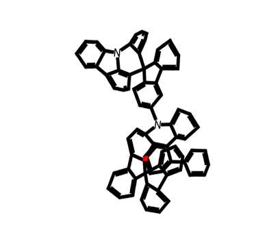 c1ccc(-c2ccccc2-c2ccccc2N(c2ccc3c(c2)-c2ccccc2C32c3ccccc3-n3c4ccccc4c4cccc2c43)c2ccc3c(c2)C2(c4ccccc4-c4ccccc42)c2ccccc2-3)cc1